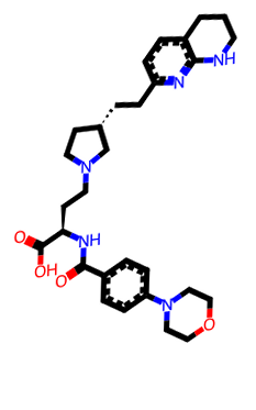 O=C(N[C@H](CCN1CC[C@H](CCc2ccc3c(n2)NCCC3)C1)C(=O)O)c1ccc(N2CCOCC2)cc1